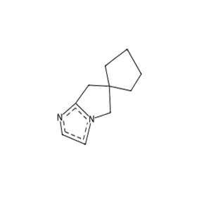 c1cn2c(n1)CC1(CCCC1)C2